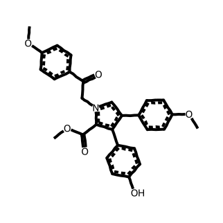 COC(=O)c1c(-c2ccc(O)cc2)c(-c2ccc(OC)cc2)cn1CC(=O)c1ccc(OC)cc1